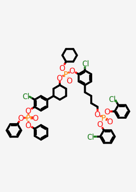 O=P(Oc1ccccc1)(Oc1ccccc1)Oc1ccc(C2CCCC(OP(=O)(Oc3cc(CCCCOP(=O)(Oc4ccccc4Cl)Oc4ccccc4Cl)ccc3Cl)OC3CCCCC3)C2)cc1Cl